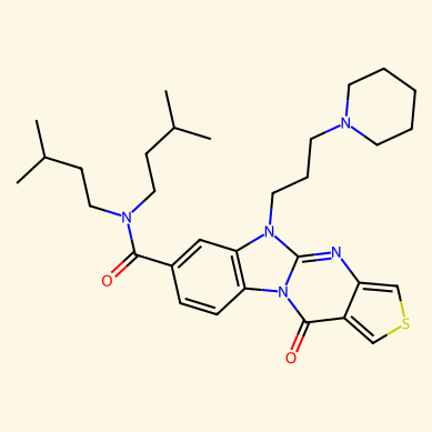 CC(C)CCN(CCC(C)C)C(=O)c1ccc2c(c1)n(CCCN1CCCCC1)c1nc3cscc3c(=O)n21